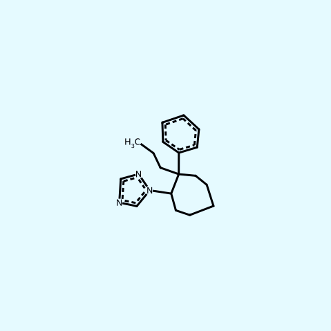 CCCC1(c2ccccc2)CCCCCC1n1cncn1